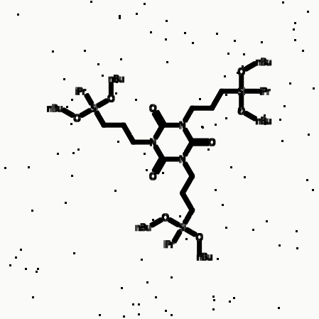 CCCCO[Si](CCCn1c(=O)n(CCC[Si](OCCCC)(OCCCC)C(C)C)c(=O)n(CCC[Si](OCCCC)(OCCCC)C(C)C)c1=O)(OCCCC)C(C)C